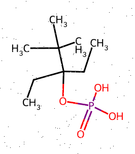 CCC(CC)(OP(=O)(O)O)C(C)(C)C